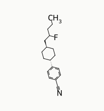 CCCC(F)C[C@H]1CC[C@H](c2ccc(C#N)cc2)CC1